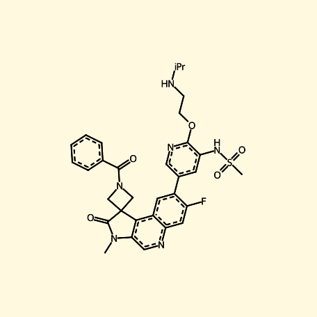 CC(C)NCCOc1ncc(-c2cc3c4c(cnc3cc2F)N(C)C(=O)C42CN(C(=O)c3ccccc3)C2)cc1NS(C)(=O)=O